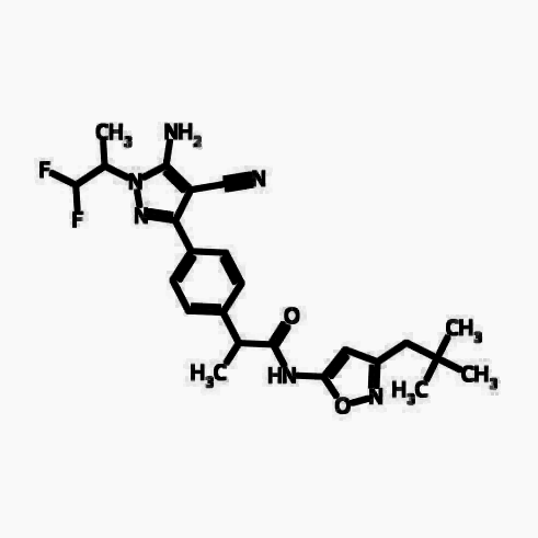 CC(C(=O)Nc1cc(CC(C)(C)C)no1)c1ccc(-c2nn(C(C)C(F)F)c(N)c2C#N)cc1